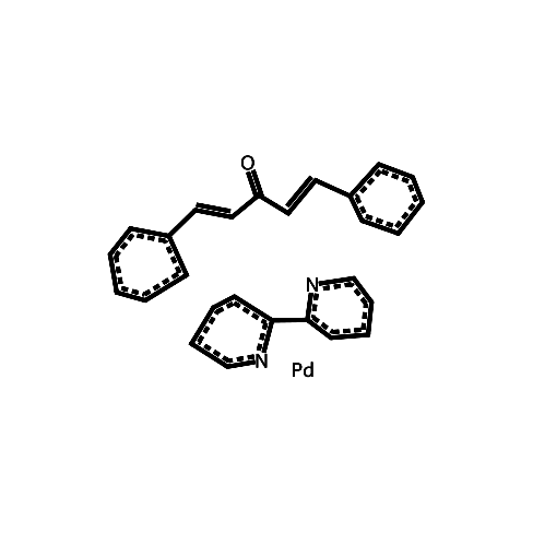 O=C(C=Cc1ccccc1)C=Cc1ccccc1.[Pd].c1ccc(-c2ccccn2)nc1